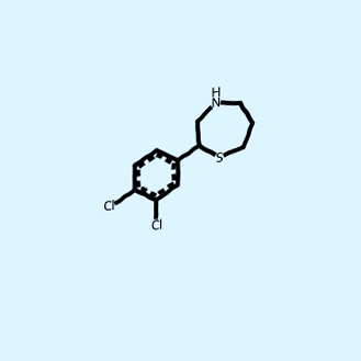 Clc1ccc(C2CNCCCS2)cc1Cl